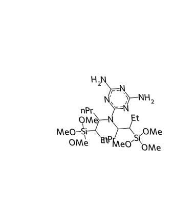 CCCC(C(CC)[Si](OC)(OC)OC)N(c1nc(N)nc(N)n1)C(CCC)C(CC)[Si](OC)(OC)OC